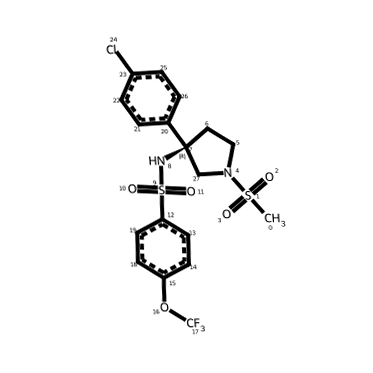 CS(=O)(=O)N1CC[C@@](NS(=O)(=O)c2ccc(OC(F)(F)F)cc2)(c2ccc(Cl)cc2)C1